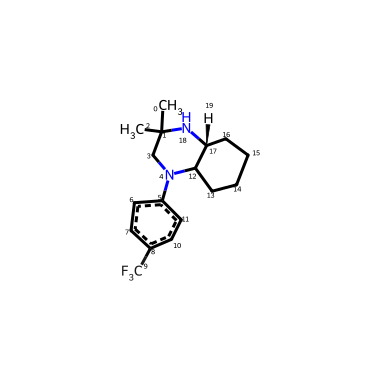 CC1(C)CN(c2ccc(C(F)(F)F)cc2)C2CCCC[C@H]2N1